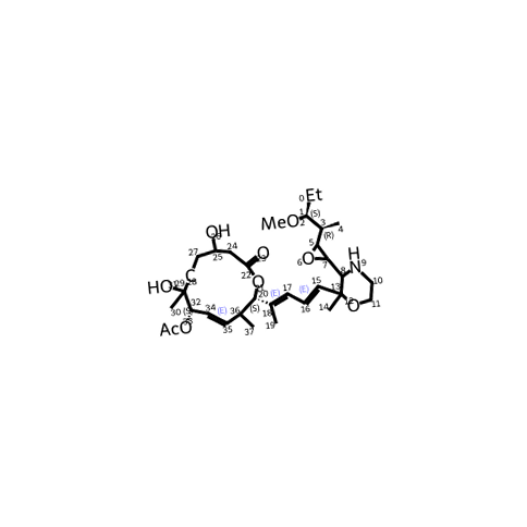 CC[C@H](OC)[C@@H](C)C1OC1C1NCCOC1(C)/C=C/C=C(\C)[C@H]1OC(=O)CC(O)CCC(C)(O)[C@@H](OC(C)=O)/C=C/C1C